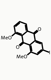 COc1cccc2c1C(=O)c1c(OC)cc(I)cc1C2=O